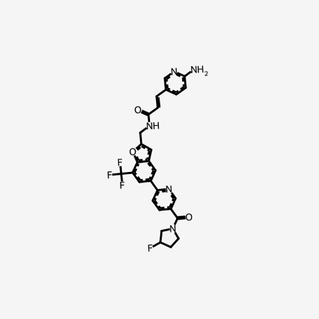 Nc1ccc(/C=C/C(=O)NCc2cc3cc(-c4ccc(C(=O)N5CCC(F)C5)cn4)cc(C(F)(F)F)c3o2)cn1